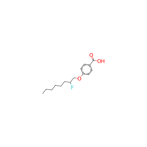 CCCCCCC(F)COc1ccc(C(=O)O)cc1